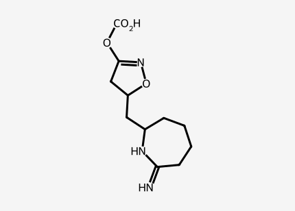 N=C1CCCCC(CC2CC(OC(=O)O)=NO2)N1